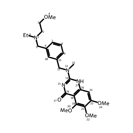 CCN(CCOC)Cc1cccc(CN(C)c2nc(=O)c3c(OC)c(OC)c(OC)cc3[nH]2)c1